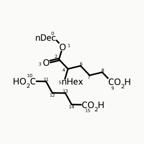 CCCCCCCCCCOC(=O)C(CCCCCC)CCCC(=O)O.O=C(O)CCCCC(=O)O